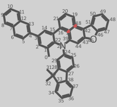 Cc1cc(-c2ccc3ccccc3c2)cc(-c2ccccc2)c1N(c1ccc2c(c1)C(C)(C)c1ccccc1-2)c1ccc2c(c1)oc1ccccc12